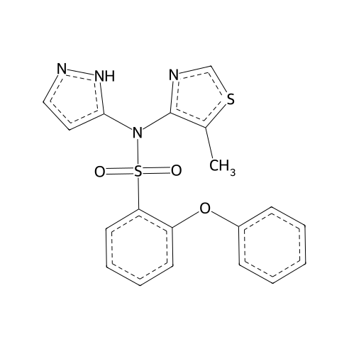 Cc1scnc1N(c1ccn[nH]1)S(=O)(=O)c1ccccc1Oc1ccccc1